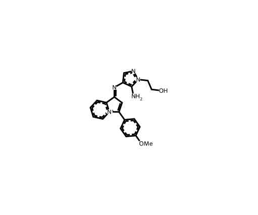 COc1ccc(C2=C/C(=N\c3cnn(CCO)c3N)c3cccc[n+]32)cc1